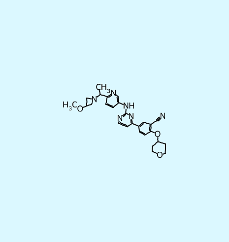 COC1CN(C(C)c2ccc(Nc3nccc(-c4ccc(OC5CCOCC5)c(C#N)c4)n3)cn2)C1